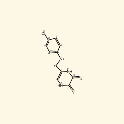 O=c1[nH]cc(CSc2ccc(Cl)cc2)[nH]c1=O